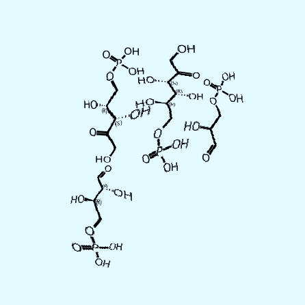 O=C(CO)[C@@H](O)[C@H](O)COP(=O)(O)O.O=C(CO)[C@@H](O)[C@H](O)[C@H](O)COP(=O)(O)O.O=CC(O)COP(=O)(O)O.O=C[C@H](O)[C@H](O)COP(=O)(O)O